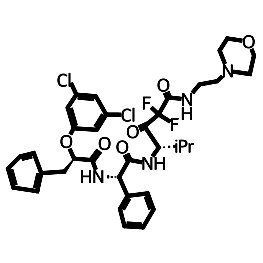 CC(C)[C@H](NC(=O)[C@@H](NC(=O)[C@@H](Cc1ccccc1)Oc1cc(Cl)cc(Cl)c1)c1ccccc1)C(=O)C(F)(F)C(=O)NCCN1CCOCC1